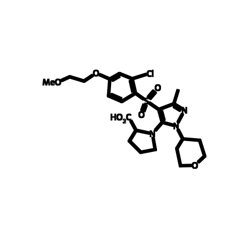 COCCOc1ccc(S(=O)(=O)c2c(C)nn(C3CCOCC3)c2N2CCCC2C(=O)O)c(Cl)c1